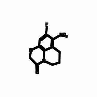 O=C1COc2cc(F)c([N+](=O)[O-])c3c2N1CCC3